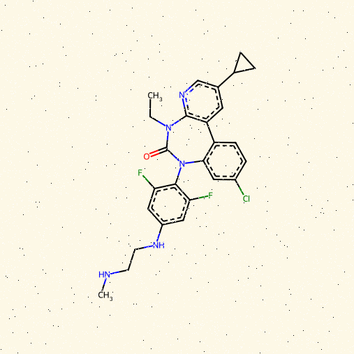 CCN1C(=O)N(c2c(F)cc(NCCNC)cc2F)c2cc(Cl)ccc2-c2cc(C3CC3)cnc21